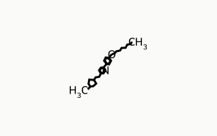 CCCCCCCCOc1ccc(-c2ccc(CCC3CCC(CC)CC3)cn2)cc1